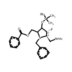 CC(=O)NC[C@@H]1[C@@H](F)C(O[Si](C)(C)C(C)(C)C)C(COC(=O)c2ccccc2)N1Cc1ccccc1